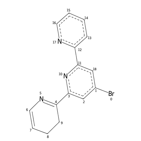 Brc1cc(C2=NC=CCC2)nc(-c2ccccn2)c1